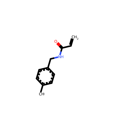 [CH]c1ccc(CNC(=O)C=C)cc1